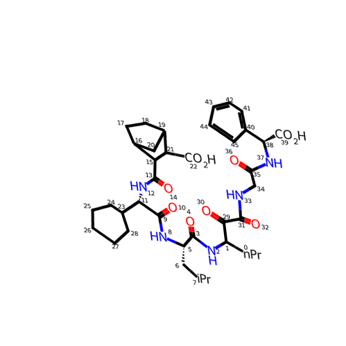 CCCC(NC(=O)[C@H](CC(C)C)NC(=O)[C@@H](NC(=O)C1C2CCC(C2)C1C(=O)O)C1CCCCC1)C(=O)C(=O)NCC(=O)N[C@H](C(=O)O)c1ccccc1